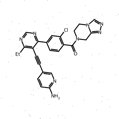 CCc1ncnc(-c2ccc(C(=O)N3CCn4cnnc4C3)c(Cl)c2)c1C#Cc1ccc(N)nc1